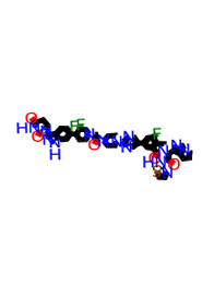 O=C1CCN(c2n[nH]c3cc(C4CCN(CC(=O)N5CCN(c6ncc(-c7cc(F)c8c(c7)C(=O)N(C(C(=O)Nc7nccs7)c7ncn9c7CCC9)C8)cn6)CC5)CC4(F)F)ccc23)C(=O)N1